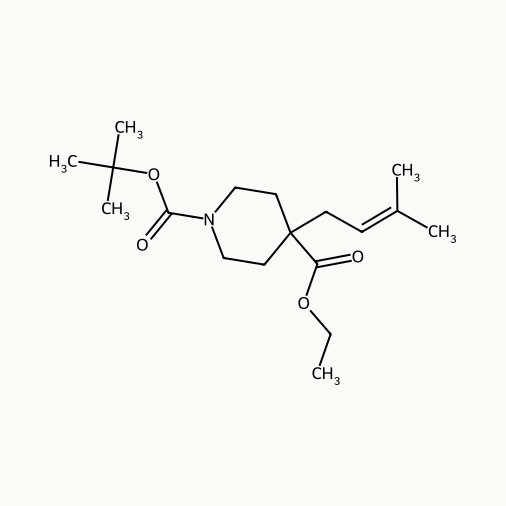 CCOC(=O)C1(CC=C(C)C)CCN(C(=O)OC(C)(C)C)CC1